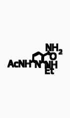 CCNc1nc(NC(C)=O)ccc1C(N)=O